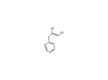 CCC=C(Cc1ccccc1)C(C)=O